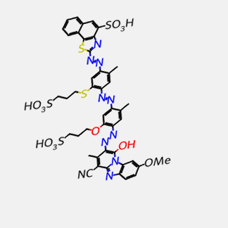 COc1ccc2nc3c(C#N)c(C)c(N=Nc4cc(C)c(N=Nc5cc(C)c(N=Nc6nc7c(S(=O)(=O)O)cc8ccccc8c7s6)cc5SCCCS(=O)(=O)O)cc4OCCCS(=O)(=O)O)c(O)n3c2c1